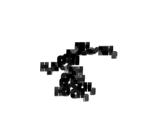 CC(C)C(NC(=O)N[C@H](CC(N)=O)c1nc([C@@H](N)CCCCN)no1)C(=O)O